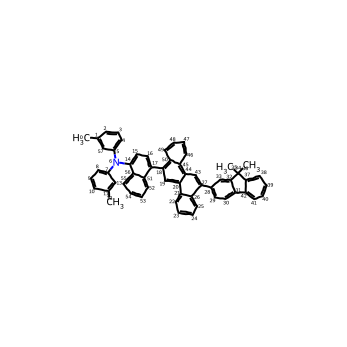 Cc1cccc(N(c2cccc(C)c2)c2ccc(-c3cc4c5ccccc5c(-c5ccc6c(c5)C(C)(C)c5ccccc5-6)cc4c4ccccc34)c3ccccc23)c1